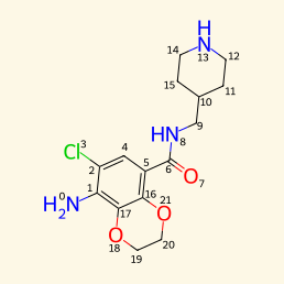 Nc1c(Cl)cc(C(=O)NCC2CCNCC2)c2c1OCCO2